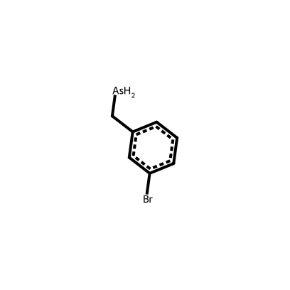 [AsH2]Cc1cccc(Br)c1